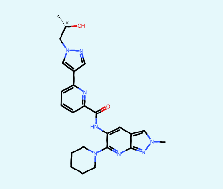 C[C@H](O)Cn1cc(-c2cccc(C(=O)Nc3cc4cn(C)nc4nc3N3CCCCC3)n2)cn1